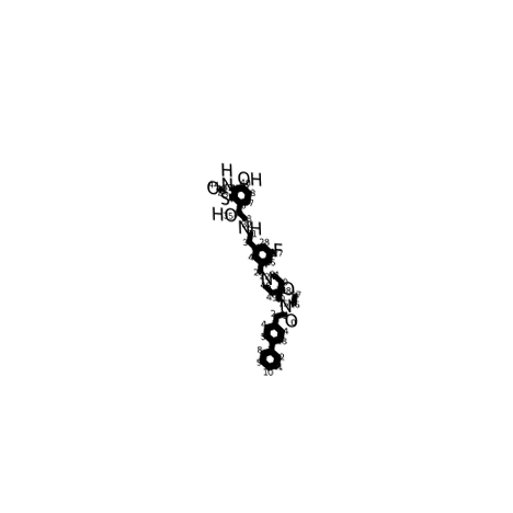 O=C(Cc1ccc(-c2ccccc2)cc1)N1CCOC2(CCN(Cc3cc(F)cc(CCNCC(O)c4ccc(O)c5[nH]c(=O)sc45)c3)CC2)C1